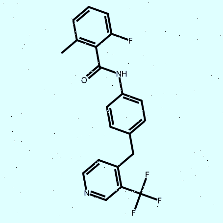 Cc1cccc(F)c1C(=O)Nc1ccc(Cc2ccncc2C(F)(F)F)cc1